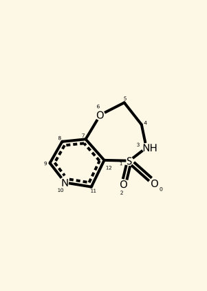 O=S1(=O)NCCOc2ccncc21